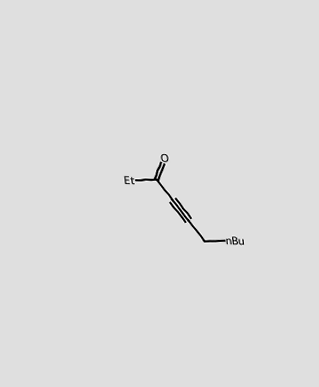 CCCCCC#CC(=O)CC